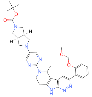 COCOc1ccccc1-c1cc2c3c([nH]c2nn1)CCN(c1ncc(N2C[C@H]4CN(C(=O)OC(C)(C)C)C[C@H]4C2)cn1)C3C